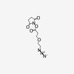 [N-]=[N+]=NCCOCCC(=O)ON1C(=O)CCC1=O